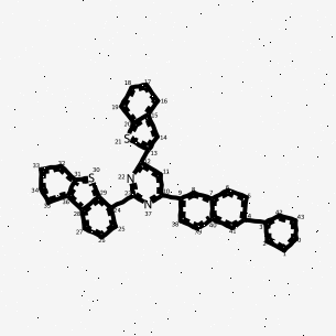 c1ccc(-c2ccc3cc(-c4cc(-c5cc6ccccc6s5)nc(-c5cccc6c5sc5ccccc56)n4)ccc3c2)cc1